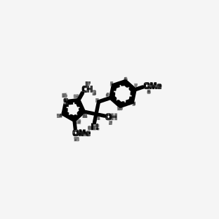 CCC(O)(Cc1ccc(OC)cc1)c1c(OC)csc1C